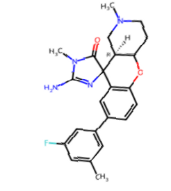 Cc1cc(F)cc(-c2ccc3c(c2)C2(N=C(N)N(C)C2=O)[C@H]2CN(C)CCC2O3)c1